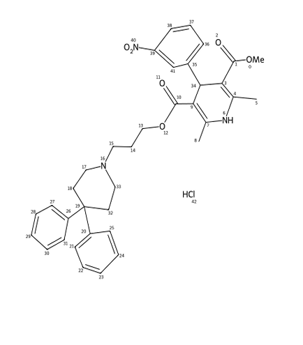 COC(=O)C1=C(C)NC(C)=C(C(=O)OCCCN2CCC(c3ccccc3)(c3ccccc3)CC2)C1c1cccc([N+](=O)[O-])c1.Cl